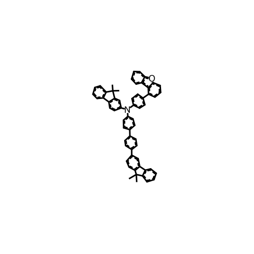 CC1(C)c2ccccc2-c2cc(-c3ccc(-c4ccc(N(c5ccc(-c6cccc7oc8ccccc8c67)cc5)c5ccc6c(c5)C(C)(C)c5ccccc5-6)cc4)cc3)ccc21